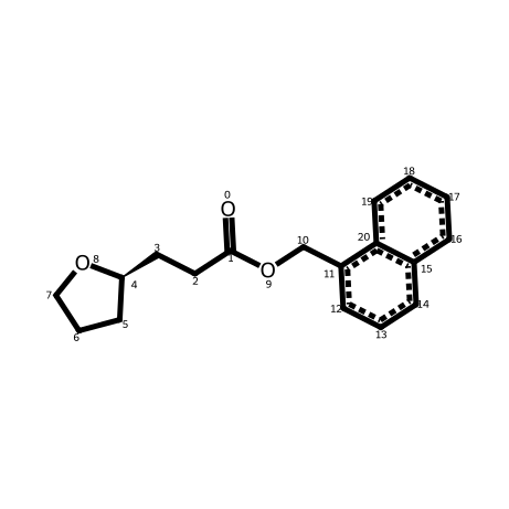 O=C(CC[C@H]1CCCO1)OCc1cccc2ccccc12